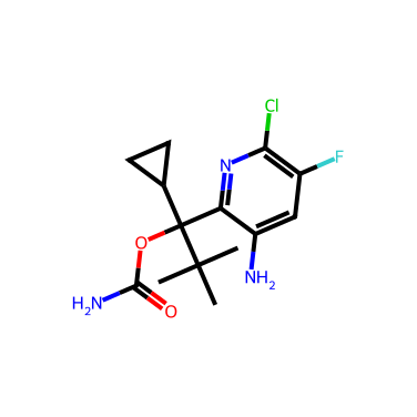 CC(C)(C)C(OC(N)=O)(c1nc(Cl)c(F)cc1N)C1CC1